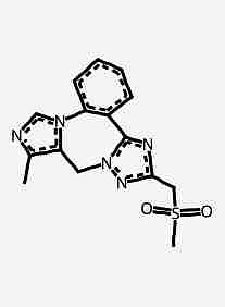 Cc1ncn2c1Cn1nc(CS(C)(=O)=O)nc1-c1ccccc1-2